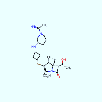 CC(=N)N1CCC[C@H](N[C@H]2C[C@@H](SC3=C(C(=O)O)N4C(=O)[C@H]([C@@H](C)O)[C@H]4[C@H]3C)C2)C1